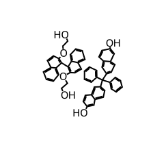 OCCOc1ccc2ccccc2c1-c1c(OCCO)ccc2ccccc12.Oc1ccc2cc(C(c3ccccc3)(c3ccccc3)c3ccc4cc(O)ccc4c3)ccc2c1